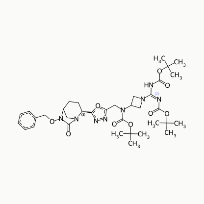 CC(C)(C)OC(=O)/N=C(/NC(=O)OC(C)(C)C)N1CC(N(Cc2nnc([C@@H]3CCC4CN3C(=O)N4OCc3ccccc3)o2)C(=O)OC(C)(C)C)C1